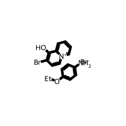 CCOc1ccc(N)cc1.Oc1c(Br)cc[n+]2ccccc12.[Br-]